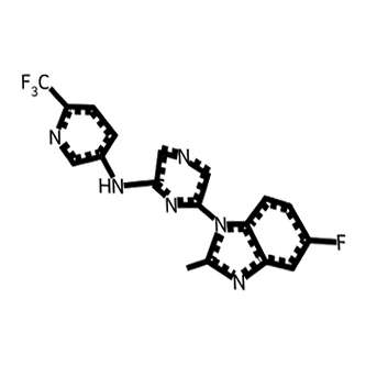 Cc1nc2cc(F)ccc2n1-c1cncc(Nc2ccc(C(F)(F)F)nc2)n1